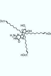 CCCCCCCCC=CCCCCCCCCC1(CCCCCCCCC=CCCCCCCCC)[C@H](O)[C@@H](CO)O[C@@]1(CCCCCCCCC=CCCCCCCCC)n1cnc2c(=O)[nH]c(N)nc21